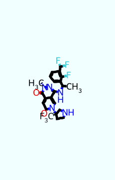 CC(Nc1nn(C)c(=O)c2cc(=O)n([C@@]3(C(F)(F)F)CCNC3)cc12)c1cccc(C(F)F)c1F